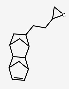 C1=CC2CC1C1C3CC(CCC4CO4)C(C3)C21